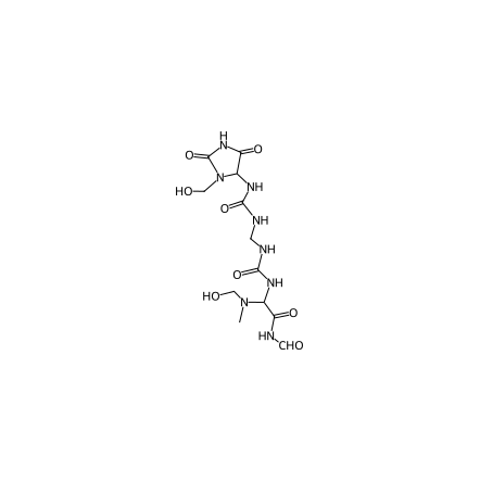 CN(CO)C(NC(=O)NCNC(=O)NC1C(=O)NC(=O)N1CO)C(=O)NC=O